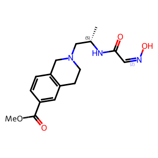 COC(=O)c1ccc2c(c1)CCN(C[C@H](C)NC(=O)/C=N\O)C2